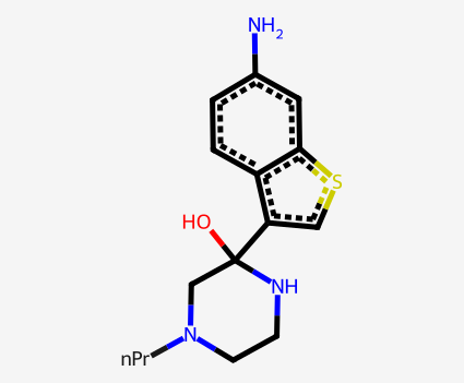 CCCN1CCNC(O)(c2csc3cc(N)ccc23)C1